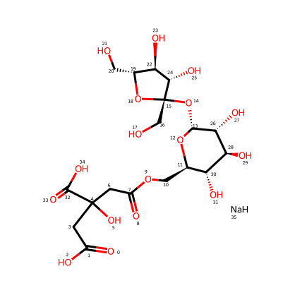 O=C(O)CC(O)(CC(=O)OC[C@H]1O[C@H](O[C@]2(CO)O[C@H](CO)[C@@H](O)[C@@H]2O)[C@H](O)[C@@H](O)[C@@H]1O)C(=O)O.[NaH]